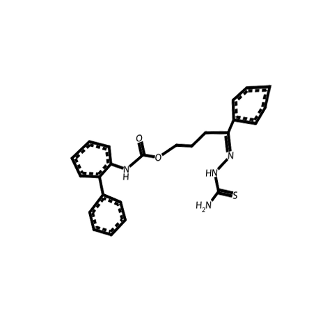 NC(=S)NN=C(CCCOC(=O)Nc1ccccc1-c1ccccc1)c1ccccc1